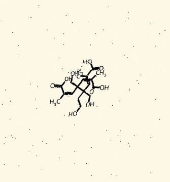 CC(=CC(C=C(C)C(=O)O)(CO)C(C=C(C)C(=O)O)(CO)CCO)C(=O)O